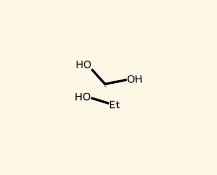 CCO.O[CH]O